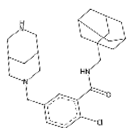 O=C(NCC12CC3CC(CC(C3)C1)C2)c1cc(CN2CC3CNCC(C3)C2)ccc1Cl